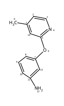 Cc1ccnc(Oc2cccc(N)c2)c1